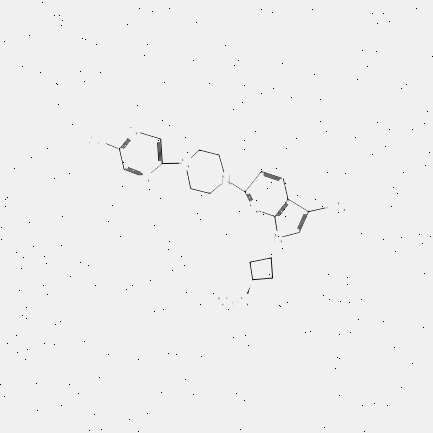 CN[C@H]1C[C@H](n2cc(C#N)c3ccc(N4CCN(c5cnc(C(C)=O)cn5)CC4)nc32)C1